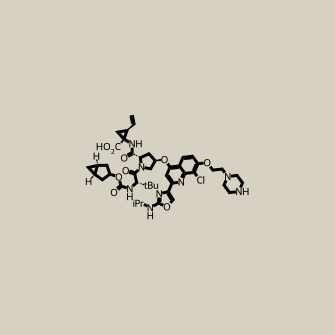 C=C[C@@H]1C[C@]1(NC(=O)[C@@H]1C[C@@H](Oc2cc(-c3coc(NC(C)C)n3)nc3c(Cl)c(OCCN4CCNCC4)ccc23)CN1C(=O)[C@@H](NC(=O)OC1C[C@@H]2C[C@@H]2C1)C(C)(C)C)C(=O)O